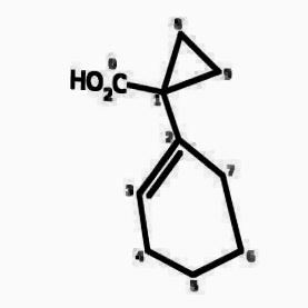 O=C(O)C1(C2=CCCCC2)CC1